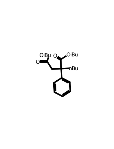 CCCCC(CC(=O)OCC(C)C)(C(=O)OCC(C)C)c1ccccc1